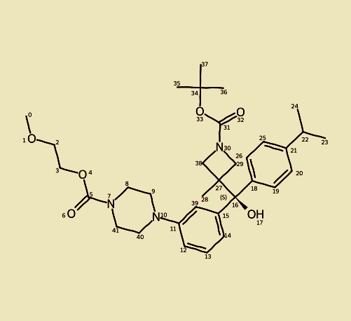 COCCOC(=O)N1CCN(c2cccc([C@@](O)(c3ccc(C(C)C)cc3)C3(C)CN(C(=O)OC(C)(C)C)C3)c2)CC1